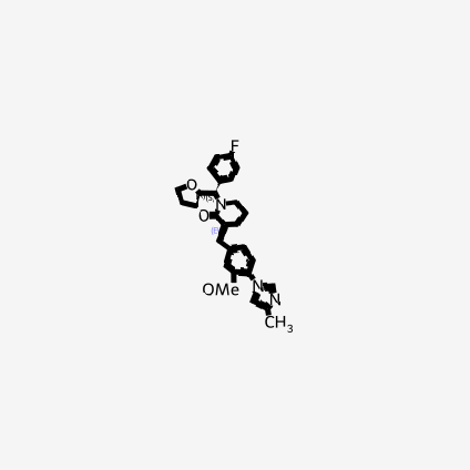 COc1cc(/C=C2\CCCN([C@@H](c3ccc(F)cc3)[C@H]3CCCO3)C2=O)ccc1-n1cnc(C)c1